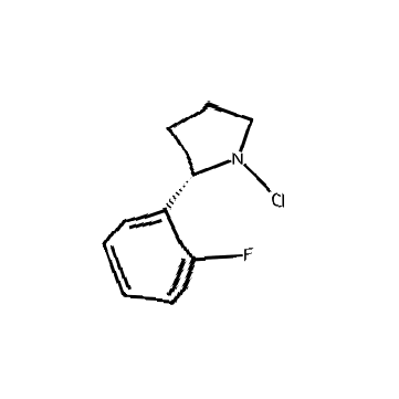 Fc1ccccc1[C@@H]1CCCN1Cl